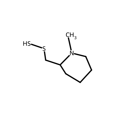 CN1CCCCC1CSS